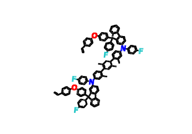 C=Cc1ccc(Oc2ccc(C3(c4ccc(F)cc4)c4ccccc4-c4ccc(N(c5ccc(F)cc5)c5ccc(C6CC(C)=C(c7ccc(N(c8ccc(F)cc8)c8ccc9c(c8)C(c8ccc(Oc%10ccc(C=C)cc%10)cc8)(C8C=CC(F)=CC8)c8ccccc8-9)cc7C)C=C6C)c(C)c5)cc43)cc2)cc1